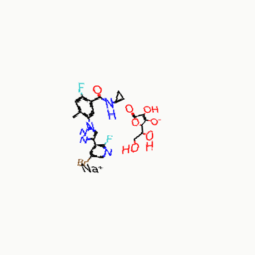 Cc1cc(F)c(C(=O)NC2CC2)cc1-n1cc(-c2cc(Br)cnc2F)nn1.O=C1O[C@H]([C@@H](O)CO)C([O-])=C1O.[Na+]